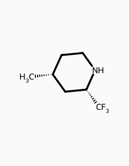 C[C@@H]1CCN[C@H](C(F)(F)F)C1